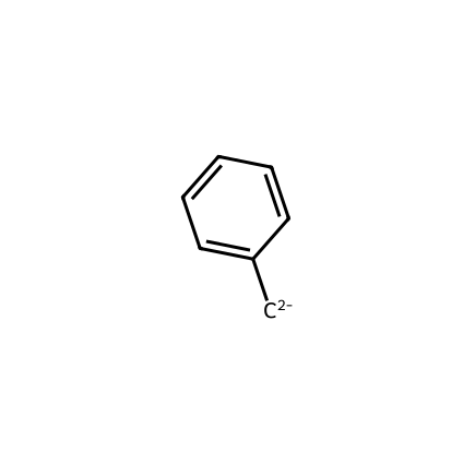 [CH-2]c1ccccc1